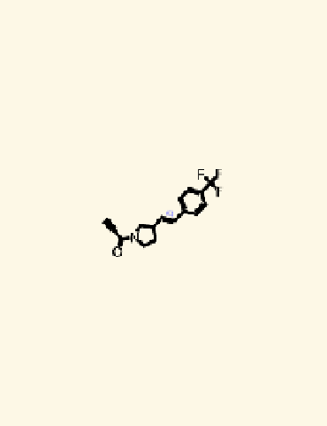 C#CC(=O)N1CCC(/C=C/c2ccc(C(F)(F)F)cc2)C1